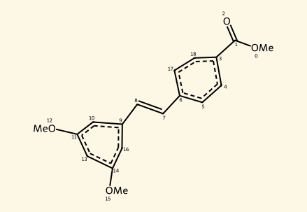 COC(=O)c1ccc(/C=C/c2cc(OC)cc(OC)c2)cc1